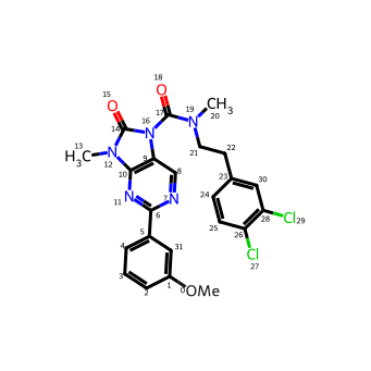 COc1cccc(-c2ncc3c(n2)n(C)c(=O)n3C(=O)N(C)CCc2ccc(Cl)c(Cl)c2)c1